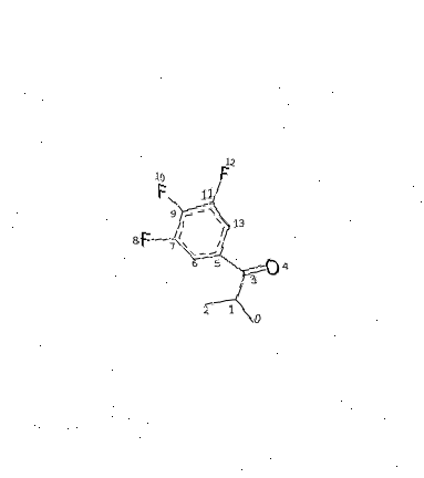 CC(C)C(=O)c1cc(F)c(F)c(F)c1